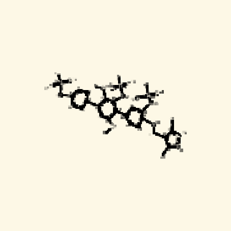 COc1cc(-c2ccc(OS(C)(=O)=O)cc2)c(OC)c(OS(C)(=O)=O)c1-c1ccc(OCc2c(C)noc2C)c(OS(C)(=O)=O)c1